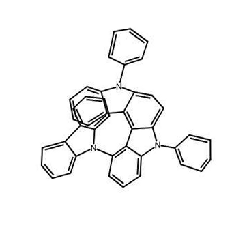 c1ccc(-n2c3ccccc3c3c4c5c(-n6c7ccccc7c7ccccc76)cccc5n(-c5ccccc5)c4ccc32)cc1